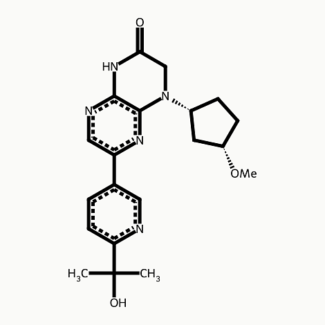 CO[C@H]1CC[C@@H](N2CC(=O)Nc3ncc(-c4ccc(C(C)(C)O)nc4)nc32)C1